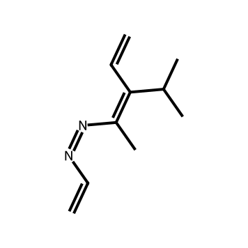 C=C/N=N\C(C)=C(/C=C)C(C)C